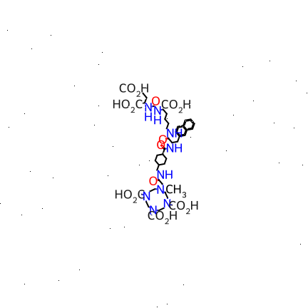 CC1CN(C(=O)O)CCN(C(=O)O)CCN(C(=O)O)CCN1CC(=O)NCC1CCC(C(=O)NC(Cc2ccc3ccccc3c2)C(=O)NCCCCC(NC(=O)NC(CCC(=O)O)C(=O)O)C(=O)O)CC1